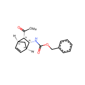 COC(=O)[C@@H]1[C@H](NC(=O)OCc2ccccc2)[C@H]2C=C[C@@H]1C2